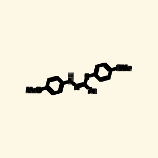 COc1ccc(NN=C(Sc2ccc(OC)cc2)C(C)=O)cc1